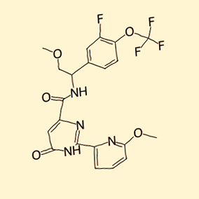 COCC(NC(=O)c1cc(=O)[nH]c(-c2cccc(OC)n2)n1)c1ccc(OC(F)(F)F)c(F)c1